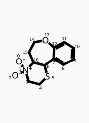 [O-][N+]1([O-])CCSC2c3ccccc3OCCC21